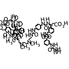 CCCNC(=O)Nc1cccc(S(=O)(=O)Nc2cccc([C@H](CC(=O)O)NC(O)Nc3ccc(NC(=O)NCCN(C)CCN(C)CCN(C)CC(=O)N[C@@H](CC(N)=O)C(=O)N4CCC[C@H]4C(=O)N[C@H](C(=O)O[C@]4(CC)C(=O)OCc5c4cc4n(c5=O)Cc5c-4nc4ccccc4c5CC)C(C)C)cc3)c2)c1